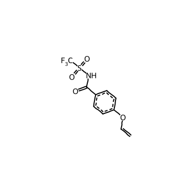 C=COc1ccc(C(=O)NS(=O)(=O)C(F)(F)F)cc1